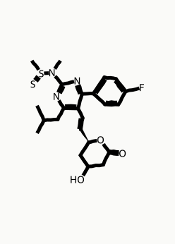 CC(C)Cc1nc(N(C)S(C)=S)nc(-c2ccc(F)cc2)c1/C=C/[C@@H]1CC(O)CC(=O)O1